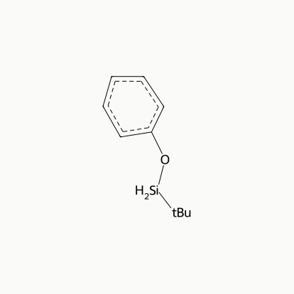 CC(C)(C)[SiH2]Oc1ccccc1